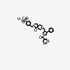 CS(=O)(=O)c1ccc(CN2CCC3(CCN(CC4CN(C(=O)c5cncnc5)CC4c4ccccc4)CC3)C2=O)cc1